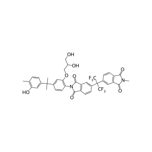 Cc1ccc(C(C)(C)c2ccc(N3C(=O)c4ccc(C(c5ccc6c(c5)C(=O)N(C)C6=O)(C(F)(F)F)C(F)(F)F)cc4C3=O)c(OCC(O)CO)c2)cc1O